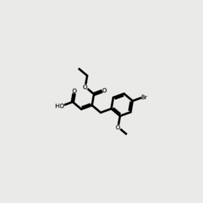 CCOC(=O)C(=CC(=O)O)Cc1ccc(Br)cc1OC